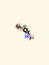 CC(=O)NCc1cc2cc(Cl)c(OC[C@@H]3CCCO3)cc2[nH]1